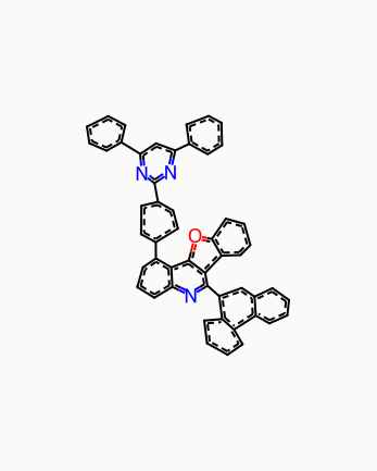 c1ccc(-c2cc(-c3ccccc3)nc(-c3ccc(-c4cccc5nc(-c6cc7ccccc7c7ccccc67)c6c7ccccc7oc6c45)cc3)n2)cc1